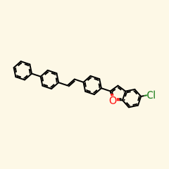 Clc1ccc2oc(-c3ccc(/C=C/c4ccc(-c5ccccc5)cc4)cc3)cc2c1